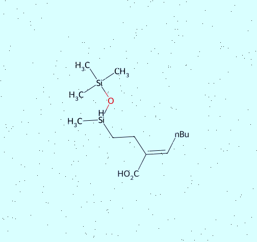 CCCCC=C(CC[SiH](C)O[Si](C)(C)C)C(=O)O